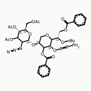 CCCCO[C@@H](COC(=O)c1ccccc1)C1OC[C@H](O[C@H]2O[C@H](COC(C)=O)[C@@H](OC(C)=O)C(OC(C)=O)C2N=[N+]=[N-])C(OC(=O)c2ccccc2)[C@@H]1OB=BP